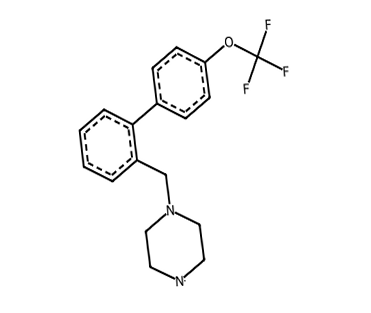 FC(F)(F)Oc1ccc(-c2ccccc2CN2CC[N]CC2)cc1